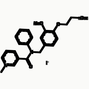 CCCCCCCCCCCCOc1ccc(CN(C(=O)c2ccc[n+](C)c2)c2ccccc2)cc1OC.[I-]